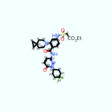 CCOC(=O)CS(=O)(=O)Nc1ccc(C(=O)Nc2ccc(=O)n(C3CCC(F)(F)CC3)n2)c(N2CCC3(CC2)CC3)c1